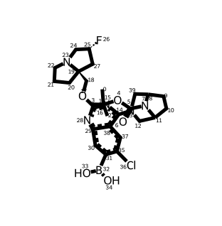 CC(C)(C)OC(=O)N1C2CCC1CN(c1nc(OC[C@@]34CCCN3C[C@H](F)C4)nc3cc(B(O)O)c(Cl)cc13)C2